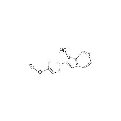 CCOc1ccc(-c2cc3ccncc3n2O)cc1